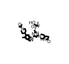 Cc1nc(N2CCC3(CCC(=O)N3)CC2)cc(-n2ncc3cc(C)c(C4CCN(C5COC5)CC4)cc32)n1.O=C(O)C(F)(F)F